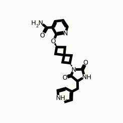 C/C=C(\C=C/N)CC1NC(=O)N([C@H]2CC3(C[C@H](Oc4ncccc4C(N)=O)C3)C2)C1=O